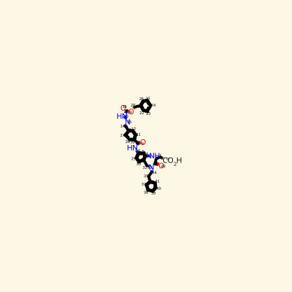 O=C(O)CC1Nc2cc(NC(=O)c3ccc(C=NNC(=O)OCc4ccccc4)cc3)ccc2CN(CCc2ccccc2)C1=O